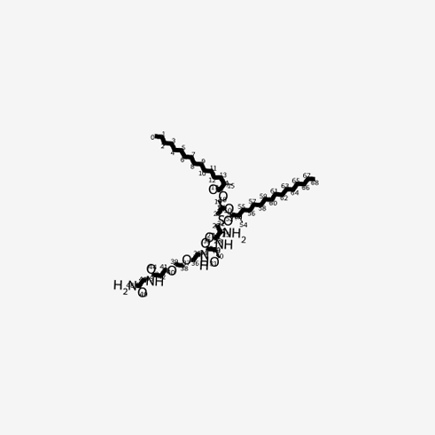 CCCCCCCCCCCCCC[C@H](C)C(=O)OC[C@H](CSC[C@H](N)C(=O)N[C@@H](CO)C(=O)NCCOCCOCCC(=O)NCC(N)=O)OC(=O)[C@@H](C)CCCCCCCCCCCCCC